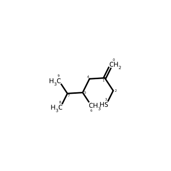 C=C(CS)CC(C)C(C)C